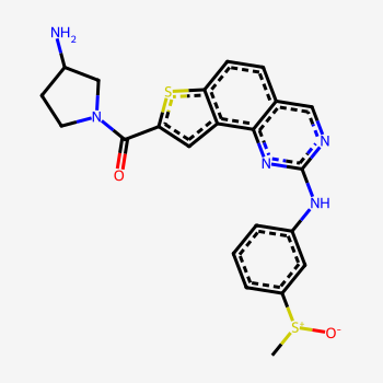 C[S+]([O-])c1cccc(Nc2ncc3ccc4sc(C(=O)N5CCC(N)C5)cc4c3n2)c1